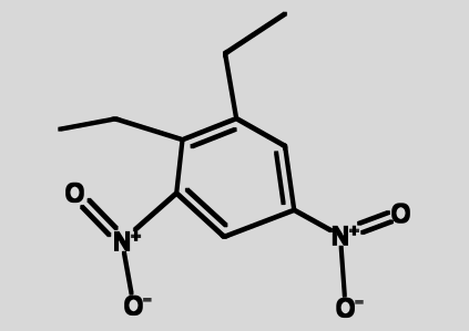 CCc1cc([N+](=O)[O-])cc([N+](=O)[O-])c1CC